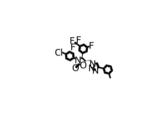 Cc1cccc(-c2cn(C[C@@H]3OC(=O)N(c4ccc(Cl)cc4)[C@H]3c3cc(F)cc(C(F)(F)F)c3)nn2)c1